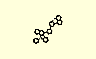 c1ccc(-n2c3ccccc3c3c(-c4cccc(-c5ccc6c(c5)-c5cccc7cccc(c57)S6)c4)cc4ccccc4c32)cc1